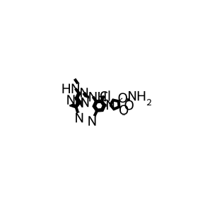 CCNc1nc(Nc2cc(C#N)cc(N3C[C@H](OC(N)=O)[C@H](OC)C3)c2Cl)nn2c(C#N)cnc12